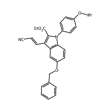 CCOC(=O)c1c(/C=C/C#N)c2cc(OCc3ccccc3)ccc2n1-c1ccc(OC(C)C)cc1